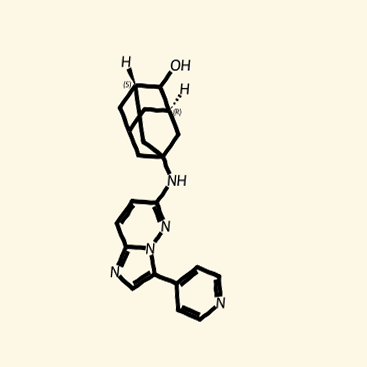 OC1[C@@H]2CC3C[C@H]1CC(Nc1ccc4ncc(-c5ccncc5)n4n1)(C3)C2